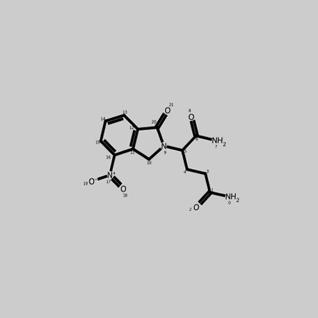 NC(=O)CCC(C(N)=O)N1Cc2c(cccc2[N+](=O)[O-])C1=O